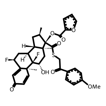 COc1ccc(C(=O)CSC(=O)[C@@]2(OC(=O)c3ccco3)[C@H](C)C[C@H]3[C@@H]4C[C@H](F)C5=CC(=O)C=C[C@]5(C)[C@@]4(F)[C@@H](O)C[C@@]32C)cc1